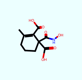 CC1=C(C(=O)O)C(C(=O)O)(C(=O)NO)CCC1